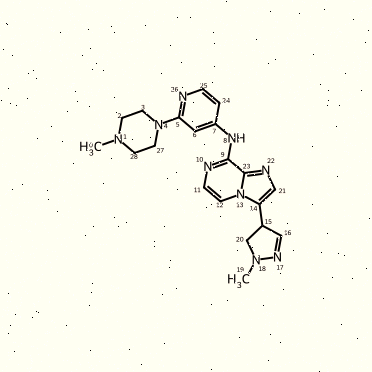 CN1CCN(c2cc(Nc3nccn4c(C5C=NN(C)C5)cnc34)ccn2)CC1